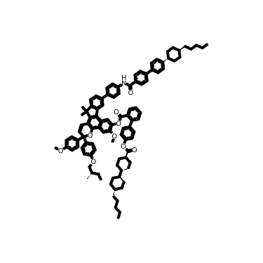 CCCCC[C@H]1CC[C@H](c2ccc(-c3ccc(C(=O)Nc4ccc(-c5ccc6c(c5)-c5c(c7c(c8cc(OC)c(OC(=O)c9ccccc9-c9ccc(OC(=O)[C@H]%10CC[C@H]([C@H]%11CC[C@H](CCCCC)CC%11)CC%10)cc9)cc58)OC(c5ccc(OC)cc5)(c5ccc(OC[C@@H](C)CC)cc5)C=C7)C6(C)C)cc4)cc3)cc2)CC1